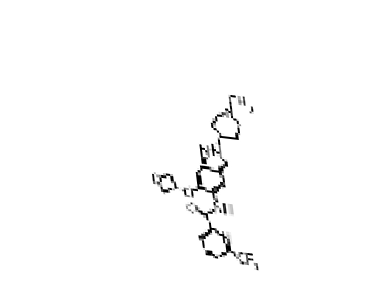 CN1CCC(n2cc3cc(NC(=O)c4cccc(C(F)(F)F)n4)c(OC4COC4)cc3n2)CC1